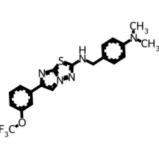 CN(C)c1ccc(CNc2nn3cc(-c4cccc(OC(F)(F)F)c4)nc3s2)cc1